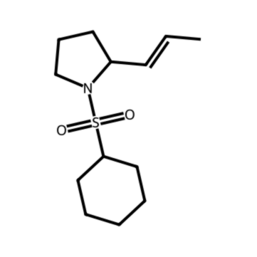 C/C=C/C1CCCN1S(=O)(=O)C1CCCCC1